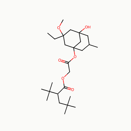 CCC1(OC)CC2(O)CC(C)CC(OC(=O)COC(=O)C(CC(C)(C)C)C(C)(C)C)(C2)C1